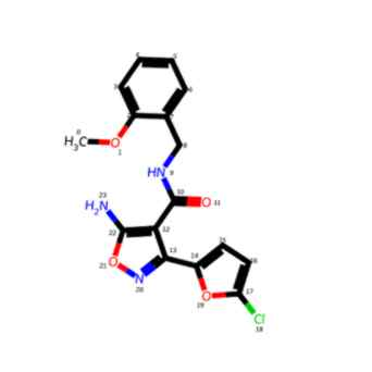 COc1ccccc1CNC(=O)c1c(-c2ccc(Cl)o2)noc1N